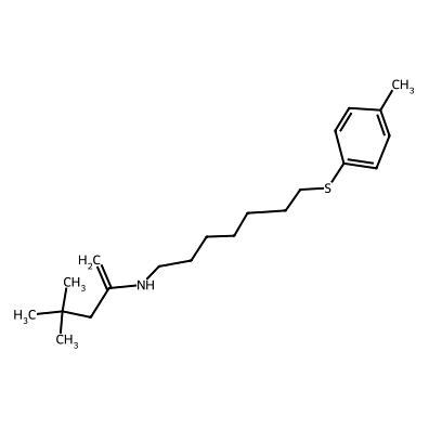 C=C(CC(C)(C)C)NCCCCCCCSc1ccc(C)cc1